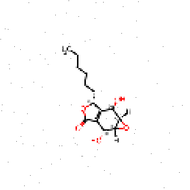 CCCCCC[C@H]1OC(=O)C2=C1[C@@H](O)[C@@H]1O[C@@H]1[C@@H]2O